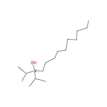 CCCCCCCCCC[Si](O)(C(C)C)C(C)C